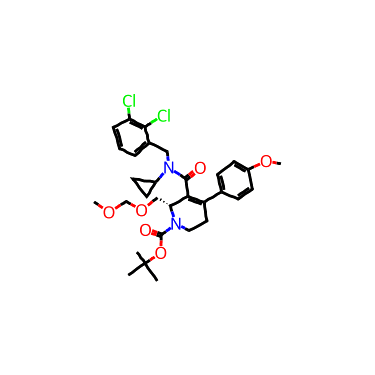 COCOC[C@@H]1C(C(=O)N(Cc2cccc(Cl)c2Cl)C2CC2)=C(c2ccc(OC)cc2)CCN1C(=O)OC(C)(C)C